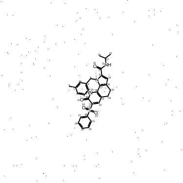 Cc1cccc(Cn2c(C(=O)NC(C)C)cc3c2-c2[nH]c(=O)c(S(=O)(=O)c4ccccc4)cc2CC3)c1